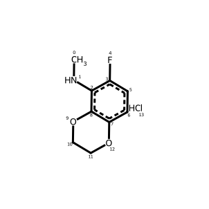 CNc1c(F)ccc2c1OCCO2.Cl